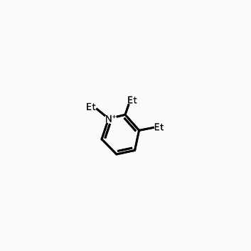 CCc1ccc[n+](CC)c1CC